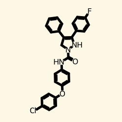 O=C(Nc1ccc(Oc2ccc(Cl)cc2)cc1)N1CC(c2ccccc2)=C(c2ccc(F)cc2)N1